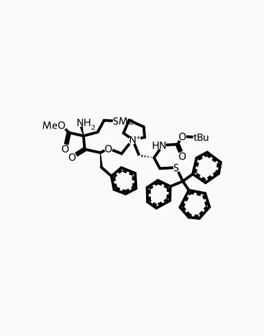 COC(=O)[C@](N)(CCSC)C(=O)[C@H](Cc1ccccc1)OC[N+]1(C[C@@H](CSC(c2ccccc2)(c2ccccc2)c2ccccc2)NC(=O)OC(C)(C)C)CCCC1